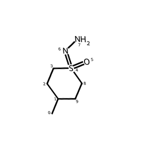 CC1CCS(=O)(=NN)CC1